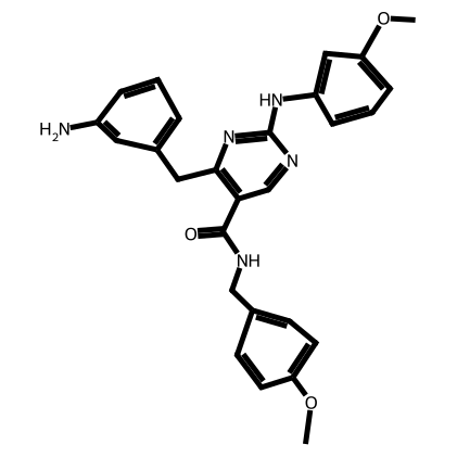 COc1ccc(CNC(=O)c2cnc(Nc3cccc(OC)c3)nc2Cc2cccc(N)c2)cc1